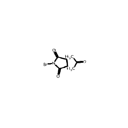 CC(C)=O.O=C1CCC(=O)N1Br